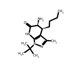 CCCC[C@H]1c2c(C)nn(C(C)(C)C)c2NC(=O)[C@H]1N